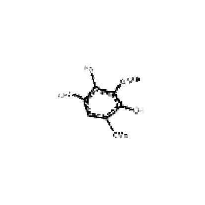 COc1cc(C=O)c(O)c(OC)c1O